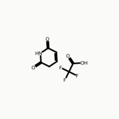 O=C(O)C(F)(F)F.O=C1C=CCC(=O)N1